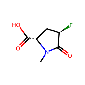 CN1C(=O)[C@H](F)C[C@H]1C(=O)O